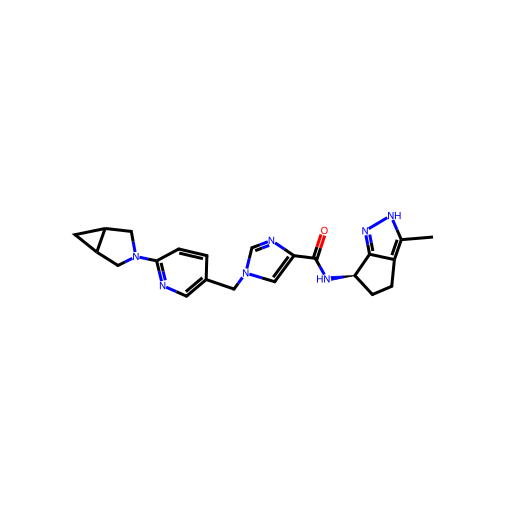 Cc1[nH]nc2c1CC[C@H]2NC(=O)c1cn(Cc2ccc(N3CC4CC4C3)nc2)cn1